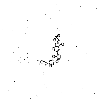 CS(=O)(=O)CN1Cc2ncc(N3CC[C@@H](Oc4ccc(OCC(F)(F)F)nc4)C3=O)cc2C1=O